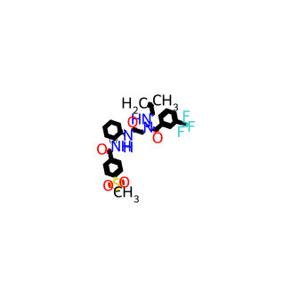 C=C(C)CNN(CC(=O)N[C@@H]1CCCC[C@@H]1NC(=O)c1ccc(S(C)(=O)=O)cc1)C(=O)c1cccc(C(F)(F)F)c1